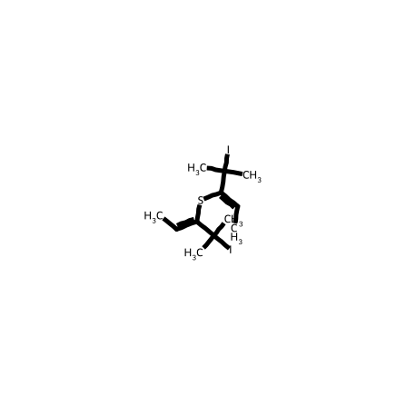 C/C=C(\S/C(=C\C)C(C)(C)I)C(C)(C)I